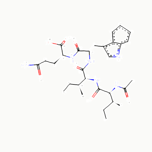 CC[C@H](C)[C@H](NC(C)=O)C(=O)N[C@H](C(=O)N[C@@H](Cc1c[nH]c2ccccc12)C(=O)N[C@@H](CCC(N)=O)C(=O)O)[C@@H](C)CC